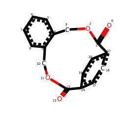 O=C1OCc2ccccc2COC(=O)c2ccc1cc2